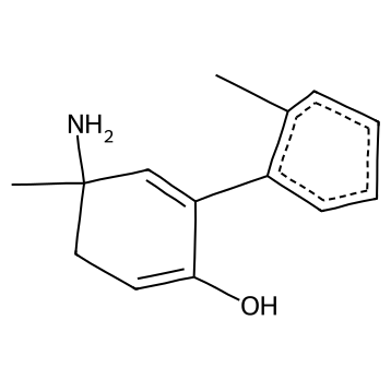 Cc1ccccc1C1=CC(C)(N)CC=C1O